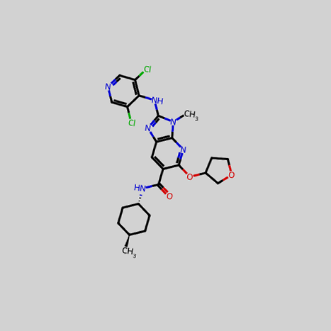 Cn1c(Nc2c(Cl)cncc2Cl)nc2cc(C(=O)N[C@H]3CC[C@H](C)CC3)c(OC3CCOC3)nc21